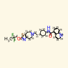 CC(F)(F)COc1nc2c(s1)CCN(CC[C@H]1CC[C@H](NC(=O)c3cccc4ncccc34)CC1)CC2